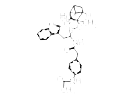 CC(=O)Nc1ccc(CC(=O)NC(Cc2coc3ccccc23)B2OC3CC4C[C@@H](C4(C)C)[C@]3(C)O2)cc1